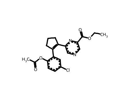 CCOC(=O)c1cncc(C2=C(c3cc(Cl)ccc3OC(C)=O)CCC2)n1